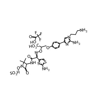 CC1(C)C(NC(=O)C(=NOC(COc2ccc(-c3cn(CCCN)c(N)n3)cc2)C(=O)O)c2csc(N)n2)C(=O)N1OS(=O)(=O)O.O=C(O)C(F)(F)F